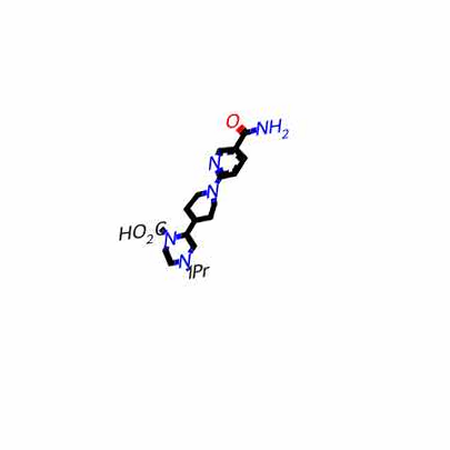 CC(C)N1CCN(C(=O)O)C(C2CCN(c3ccc(C(N)=O)cn3)CC2)C1